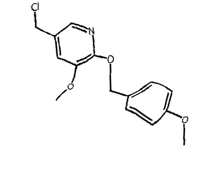 COc1ccc(COc2ncc(CCl)cc2OC)cc1